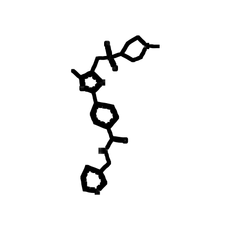 Cc1oc(-c2ccc(C(=O)NCc3cccnc3)cc2)nc1CS(=O)(=O)C1CCN(C)CC1